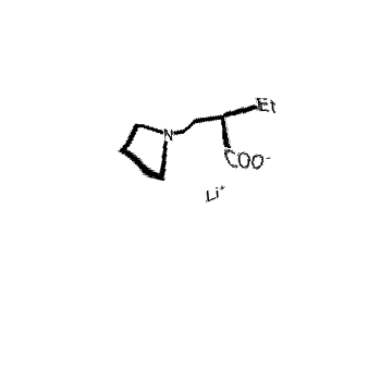 CCC(CN1CCC1)C(=O)[O-].[Li+]